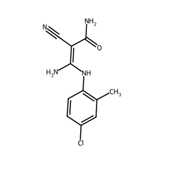 Cc1cc(Cl)ccc1NC(N)=C(C#N)C(N)=O